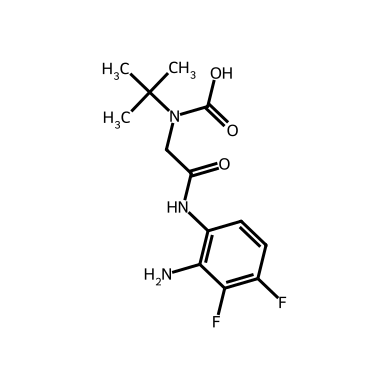 CC(C)(C)N(CC(=O)Nc1ccc(F)c(F)c1N)C(=O)O